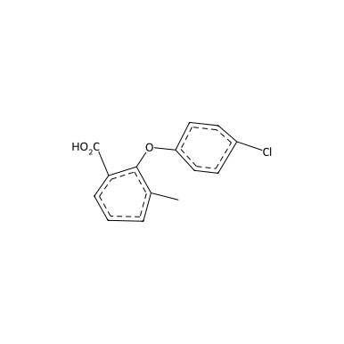 Cc1cccc(C(=O)O)c1Oc1ccc(Cl)cc1